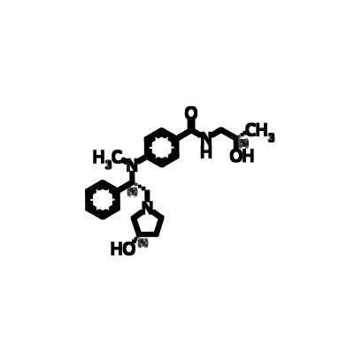 C[C@H](O)CNC(=O)c1ccc(N(C)[C@H](CN2CC[C@H](O)C2)c2ccccc2)cc1